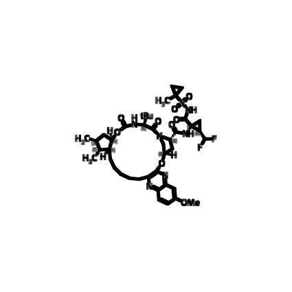 COc1ccc2nc3c(nc2c1)O[C@@H]1C[C@@H](C(=O)N[C@]2(C(=O)NS(=O)(=O)C4(C)CC4)C[C@H]2C(F)F)N(C1)C(=O)[C@H](C(C)(C)C)NC(=O)O[C@@H]1C[C@H](C)[C@H](C)[C@H]1CCCCC3